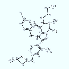 CCN1c2nc(-c3ccc(OC4CC(C)C4)nc3C)n(Cc3ccc(F)cc3)c2C(=O)N(CCCO)C1O